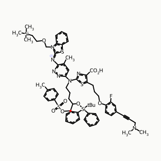 Cc1ccc(S(=O)(=O)OCC(CCCN(c2cc(C)c(/N=c3\sc4ccccc4n3COCC[Si](C)(C)C)nn2)c2nc(C(=O)O)c(CCCOc3ccc(C#CCN(C)C)cc3F)s2)O[Si](c2ccccc2)(c2ccccc2)C(C)(C)C)cc1